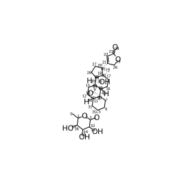 CC1OC(O[C@H]2CC[C@@]3(C=O)[C@H](CC[C@@H]4[C@@H]3CC[C@]3(C)[C@@H](C5=CC(=O)OC5)CC[C@]43O)C2)C(O)C(O)C1O